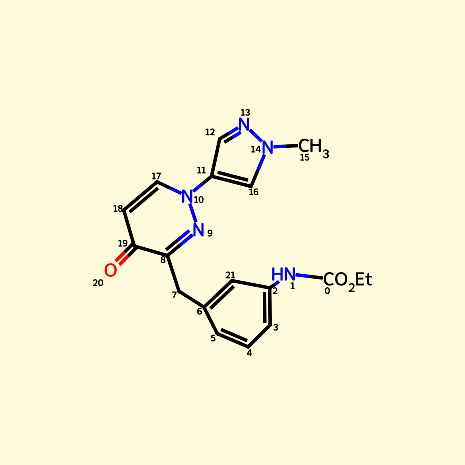 CCOC(=O)Nc1cccc(Cc2nn(-c3cnn(C)c3)ccc2=O)c1